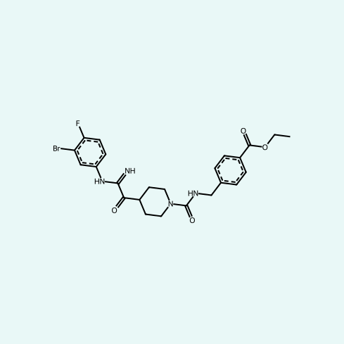 CCOC(=O)c1ccc(CNC(=O)N2CCC(C(=O)C(=N)Nc3ccc(F)c(Br)c3)CC2)cc1